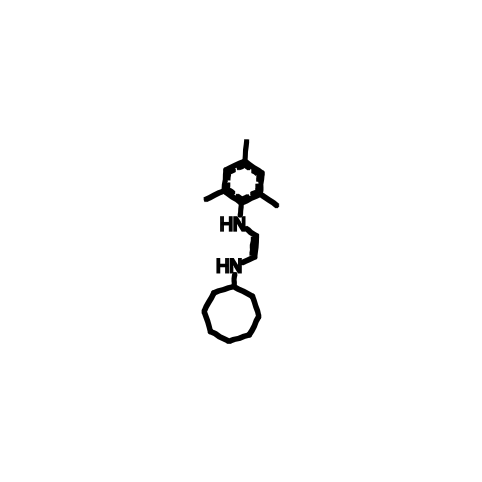 Cc1cc(C)c(N/C=C\NC2CCCCCCC2)c(C)c1